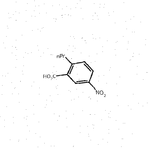 CCCc1ccc([N+](=O)[O-])cc1C(=O)O